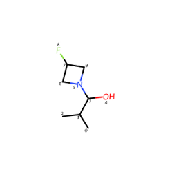 CC(C)C(O)N1CC(F)C1